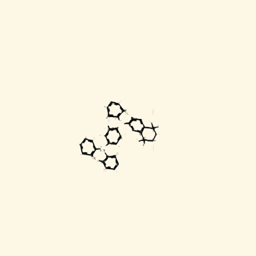 CC1(C)CCC(C)(C)c2cc3c(cc21)Oc1cccc2c1B3c1ccc(N3c4ccccc4Sc4ccccc43)cc1O2